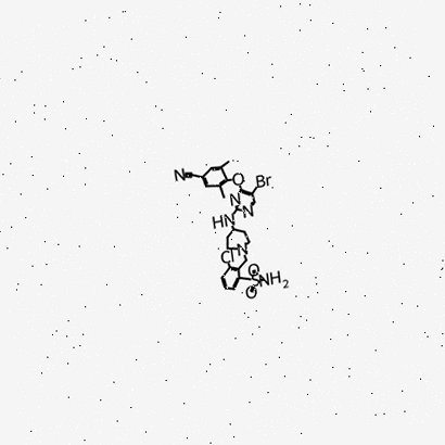 Cc1cc(C#N)cc(C)c1Oc1nc(NC2CCN(Cc3c(Cl)cccc3S(N)(=O)=O)CC2)ncc1Br